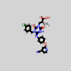 C[C@@H](Cn1c(=O)[nH]/c(=N\c2ccc(Oc3cc(C#N)ccn3)cc2)n(Cc2ccc(Cl)cc2)c1=O)C(=O)O